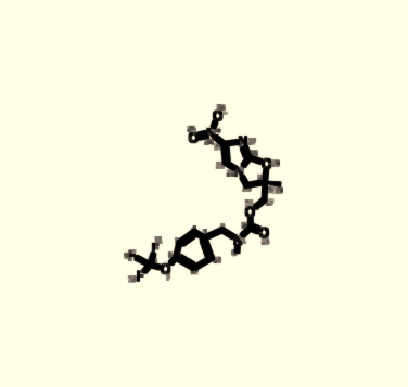 CN(Cc1ccc(OC(F)(F)F)cc1)C(=O)OC[C@]1(C)Cn2cc([N+](=O)[O-])nc2O1